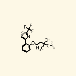 CC(C)(C)CCOc1ccccc1-c1csc(C(F)(F)F)n1